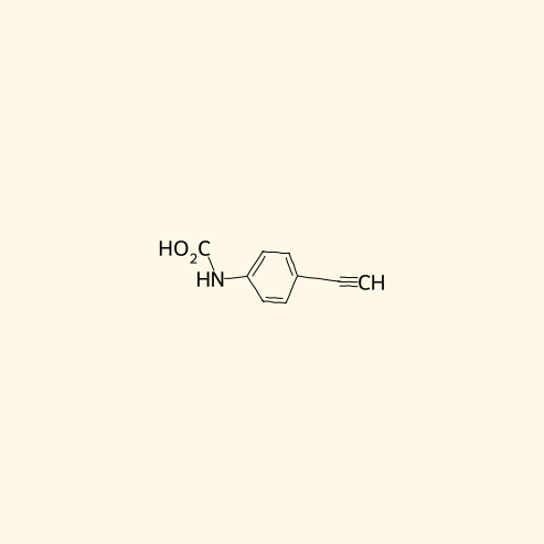 C#Cc1ccc(NC(=O)O)cc1